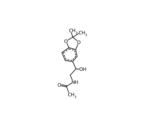 CC(=O)NCC(O)c1ccc2c(c1)OC(C)(C)O2